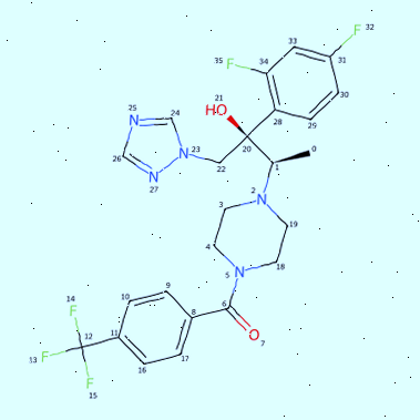 C[C@@H](N1CCN(C(=O)c2ccc(C(F)(F)F)cc2)CC1)[C@](O)(Cn1cncn1)c1ccc(F)cc1F